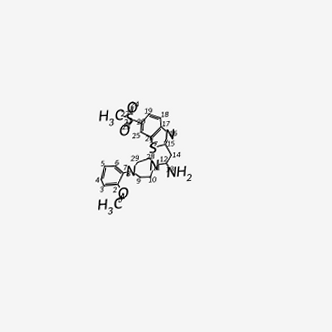 COc1ccccc1N1CCN(C(N)Cc2nc3ccc(S(C)(=O)=O)cc3s2)CC1